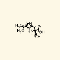 C#CC(N)(Cc1ncc(C(C)C)[nH]1)C(=O)O